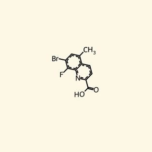 Cc1cc(Br)c(F)c2nc(C(=O)O)ccc12